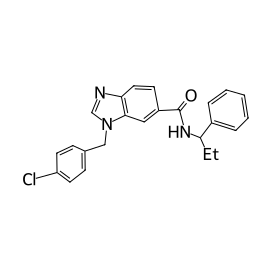 CCC(NC(=O)c1ccc2ncn(Cc3ccc(Cl)cc3)c2c1)c1ccccc1